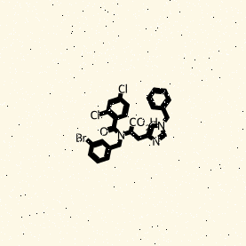 O=C(O)C(Cc1cn(Cc2ccccc2)cn1)N(Cc1cccc(Br)c1)C(=O)c1ccc(Cl)cc1Cl